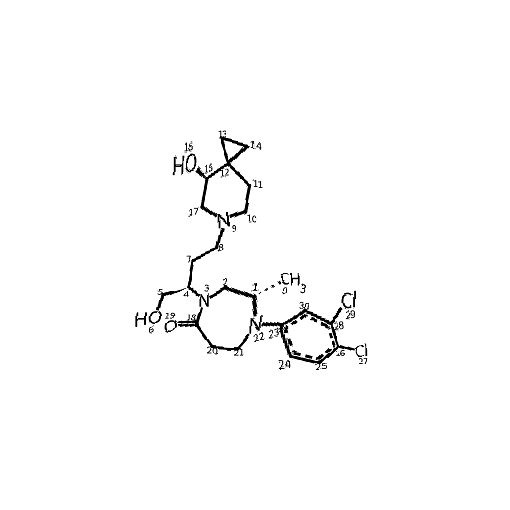 C[C@H]1CN([C@@H](CO)CCN2CCC3(CC3)[C@H](O)C2)C(=O)CCN1c1ccc(Cl)c(Cl)c1